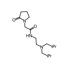 CC(C)CN(CCNC(=O)CN1CCCC1=O)CC(C)C